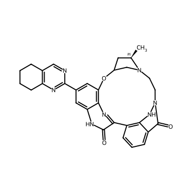 C[C@@H]1CC2CN1CCn1[nH]c3c(cccc3c1=O)-c1nc3c(cc(-c4ncc5c(n4)CCCC5)cc3[nH]c1=O)O2